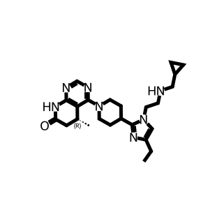 CCc1cn(CCNCC2CC2)c(C2CCN(c3ncnc4c3[C@H](C)CC(=O)N4)CC2)n1